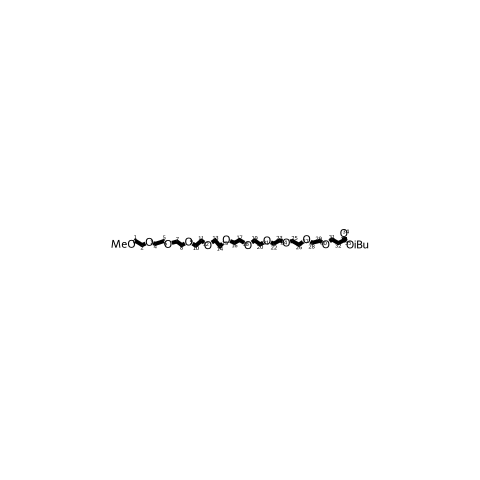 COCCOCCOCCOCCOCCOCCOCCOCCOCCOCCOCCC(=O)OCC(C)C